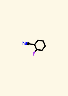 N#CC1CCCCC1I